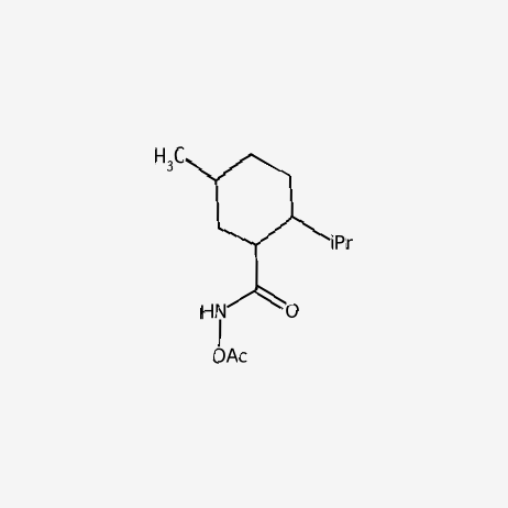 CC(=O)ONC(=O)C1CC(C)CCC1C(C)C